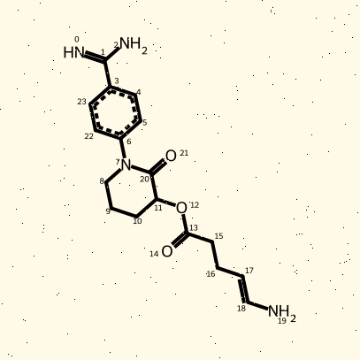 N=C(N)c1ccc(N2CCCC(OC(=O)CCC=CN)C2=O)cc1